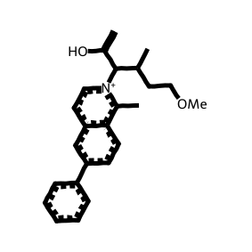 C=C(O)C(C(C)CCOC)[n+]1ccc2cc(-c3ccccc3)ccc2c1C